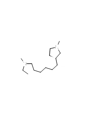 C[C@H](CC[C@H](C)[C@@H]1CCN(C)C1)[C@H]1CCN(C)C1